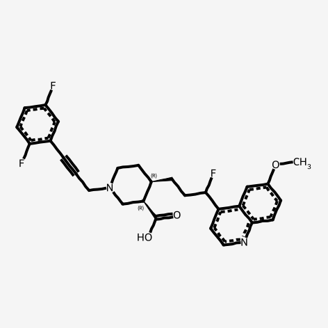 COc1ccc2nccc(C(F)CC[C@@H]3CCN(CC#Cc4cc(F)ccc4F)C[C@@H]3C(=O)O)c2c1